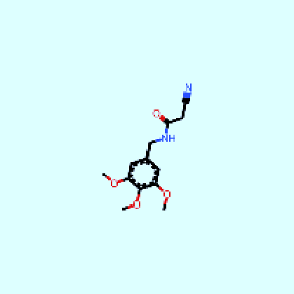 COc1cc(CNC(=O)CC#N)cc(OC)c1OC